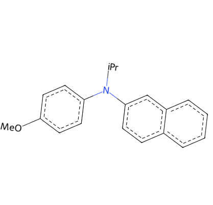 COc1ccc(N(c2ccc3ccccc3c2)C(C)C)cc1